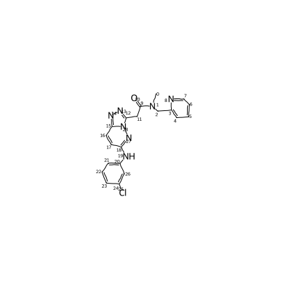 CN(Cc1ccccn1)C(=O)Cc1nnc2ccc(Nc3cccc(Cl)c3)nn12